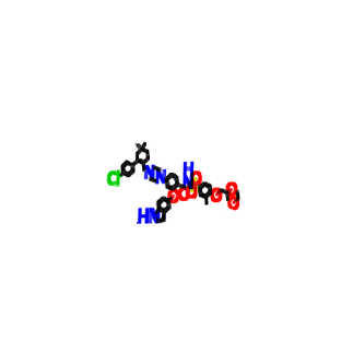 Cc1cc(S(=O)(=O)NC(=O)c2ccc(N3CCN(CC4=C(c5ccc(Cl)cc5)CC(C)(C)CC4)CC3)cc2Oc2ccc3[nH]ccc3c2)ccc1OCC1COCCO1